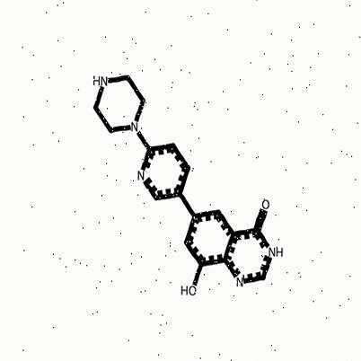 O=c1[nH]cnc2c(O)cc(-c3ccc(N4CCNCC4)nc3)cc12